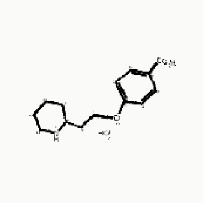 Cl.O=C(O)c1ccc(OCCC2CCCCN2)cc1